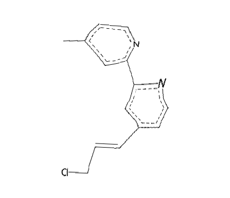 Cc1ccnc(-c2cc(C=CCCl)ccn2)c1